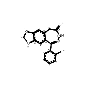 Fc1ccccc1C1=NNC(=S)Cc2cc3c(cc21)OCO3